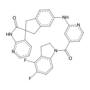 O=C(c1ccnc(Nc2ccc3c(c2)CC2(C3)C(=O)Nc3ncccc32)c1)N1CCc2c1ccc(F)c2F